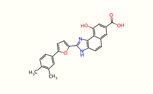 Cc1ccc(-c2ccc(-c3nc4c(ccc5cc(C(=O)O)cc(O)c54)[nH]3)o2)cc1C